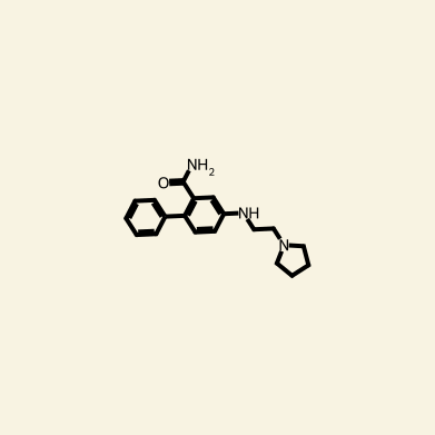 NC(=O)c1cc(NCCN2CCCC2)ccc1-c1ccccc1